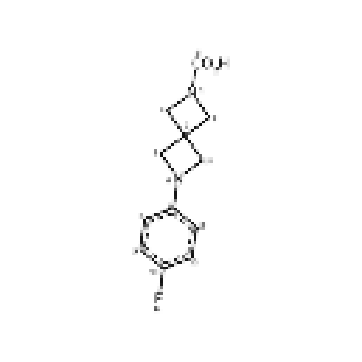 O=C(O)N1CC2(C1)CN(c1ccc(F)cc1)C2